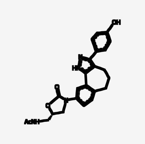 CC(=O)NC[C@H]1CN(c2ccc3c(c2)-c2[nH]nc(-c4ccc(O)cc4)c2CCC3)C(=O)O1